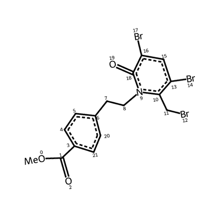 COC(=O)c1ccc(CCn2c(CBr)c(Br)cc(Br)c2=O)cc1